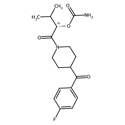 CC(C)[C@H](OC(N)=O)C(=O)N1CCC(C(=O)c2ccc(F)cc2)CC1